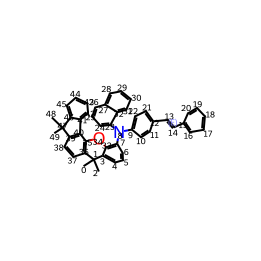 CC1(C)c2cccc(N(c3ccc(/C=C/c4ccccc4)cc3)c3cccc4ccccc34)c2Oc2c1ccc1c2-c2ccccc2C1(C)C